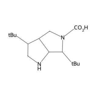 CC(C)(C)C1CNC2C1CN(C(=O)O)C2C(C)(C)C